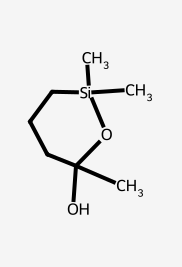 CC1(O)CCC[Si](C)(C)O1